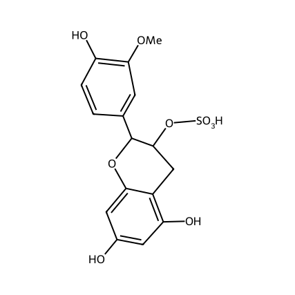 COc1cc(C2Oc3cc(O)cc(O)c3CC2OS(=O)(=O)O)ccc1O